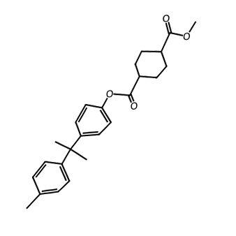 COC(=O)C1CCC(C(=O)Oc2ccc(C(C)(C)c3ccc(C)cc3)cc2)CC1